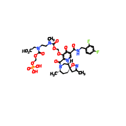 CC1=NO[C@@]2(CC[C@H](C)N3C[C@H]2n2cc(C(=O)NCc4ccc(F)cc4F)c(=O)c(OCOC(=O)N(C)CCN(CC(=O)O)C(=O)OCOP(=O)(O)O)c2C3=O)C1